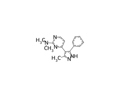 Cc1n[nH]c(-c2ccccc2)c1-c1ccnc(N(C)C)n1